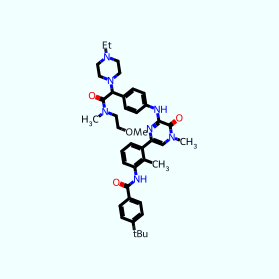 CCN1CCN(C(C(=O)N(C)CCOC)c2ccc(Nc3nc(-c4cccc(NC(=O)c5ccc(C(C)(C)C)cc5)c4C)cn(C)c3=O)cc2)CC1